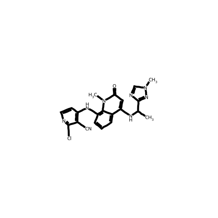 CC(Nc1cc(=O)n(C)c2c(Nc3ccnc(Cl)c3C#N)cccc12)c1ncn(C)n1